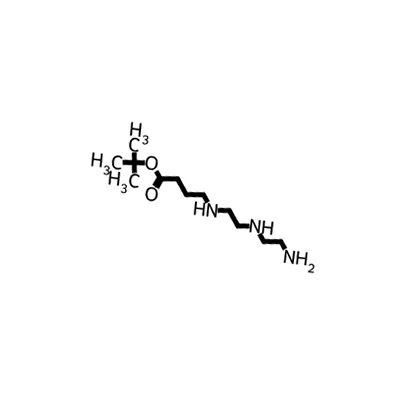 CC(C)(C)OC(=O)CCCNCCNCCN